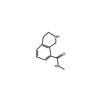 CNC(=O)c1cccc2c1CNCC2